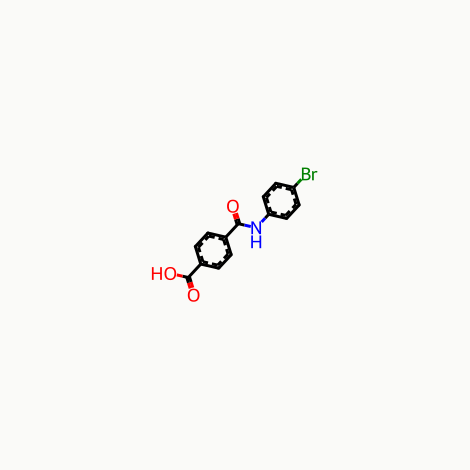 O=C(O)c1ccc(C(=O)Nc2ccc(Br)cc2)cc1